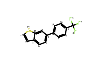 FC(F)(F)c1ccc(-c2ccc3c[c]sc3c2)cc1